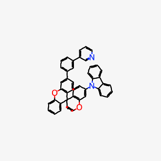 c1cncc(-c2cccc(-c3ccc4c(c3)Oc3ccccc3C43c4ccccc4Oc4cc(-n5c6ccccc6c6ccccc65)ccc43)c2)c1